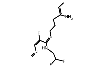 C=N/C=C(F)\C(=N/CCC/C(N)=C/C)NCC(F)F